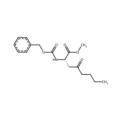 CCCCC(=O)C[C@H](NC(=O)OCc1ccccc1)C(=O)OC